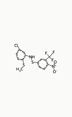 CSc1ccc(Cl)cc1NSc1ccc([N+](=O)[O-])c(C(F)(F)F)c1